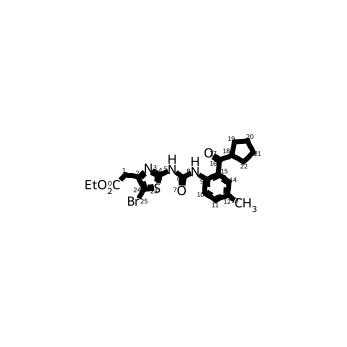 CCOC(=O)Cc1nc(NC(=O)Nc2ccc(C)cc2C(=O)C2CCCC2)sc1Br